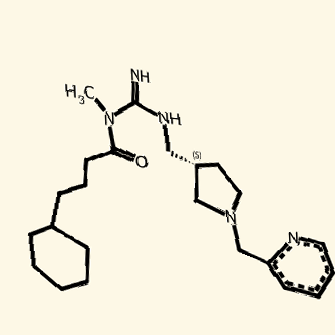 CN(C(=N)NC[C@@H]1CCN(Cc2ccccn2)C1)C(=O)CCCC1CCCCC1